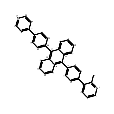 Cc1ncccc1-c1ccc(-c2c3ccccc3c(-c3ccc(-c4ccncc4)cc3)c3ccccc23)cc1